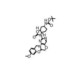 COc1ccc(CN2C(=O)COc3cnc(N4C(=O)O[C@H]5C[C@@H](NC(=O)OC(C)(C)C)CC[C@@H]54)nc32)cc1